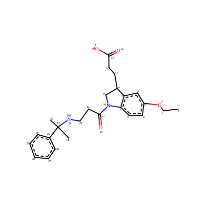 CCOc1ccc2c(c1)C(CCC(=O)O)CN2C(=O)CCNC(C)(C)c1ccccc1